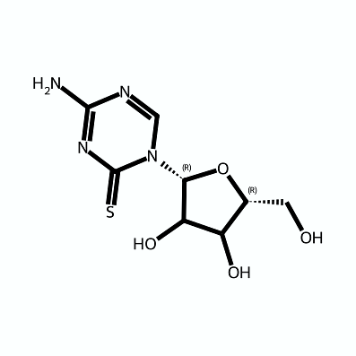 Nc1ncn([C@@H]2O[C@H](CO)C(O)C2O)c(=S)n1